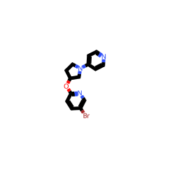 Brc1ccc(OC2CCN(c3ccncc3)C2)nc1